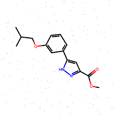 COC(=O)c1cc(-c2cccc(OCC(C)C)c2)[nH]n1